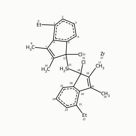 CCc1cccc2c1C(C)=C(C)C2(Cl)[SiH2]C1(Cl)C(C)=C(C)c2c(CC)cccc21.[Zr]